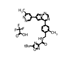 Cc1cc(-c2cc3c(-c4ccc(CNC(=O)c5noc(C(C)(C)C)n5)c(C)c4)ncnn3c2)cnn1.O=C(O)C(F)(F)F